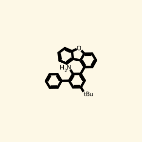 CC(C)(C)c1cc(-c2ccccc2)c(N)c(-c2cccc3oc4ccccc4c23)c1